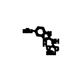 CCCCOC(=O)Nc1nc2ccc(CCCC)cc2[nH]1